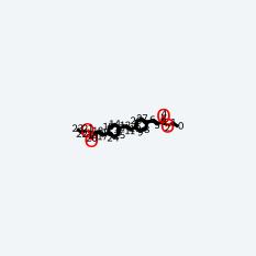 CCOC(=O)/C=C/c1ccc(/C=C/c2ccc(/C=C/C(=O)OCC)cc2)cc1